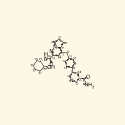 NC(=O)c1cncc(-c2ccc(Cc3cc(C(=O)N[C@H]4CCCC[C@@H]4O)nn4cccc34)cc2)c1